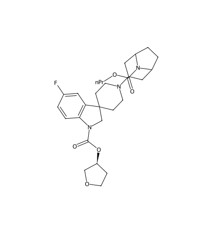 CCCOC(=O)N1C2CCC1CC(N1CCC3(CC1)CN(C(=O)O[C@H]1CCOC1)c1ccc(F)cc13)C2